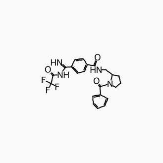 N=C(NC(=O)C(F)(F)F)c1ccc(C(=O)NCC2CCCN2C(=O)c2ccccc2)cc1